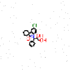 O=C1N([C@@H](c2ccccc2)[C@H](O)CO)c2ccc(Cl)cc2C12CCCCC2